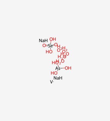 O.O.O.O.O.O=[Se](=O)(O)O.O[As](O)O.[NaH].[NaH].[V]